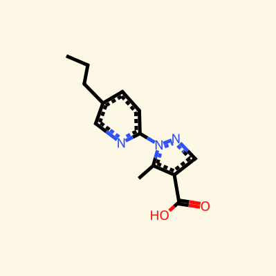 CCCc1ccc(-n2ncc(C(=O)O)c2C)nc1